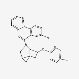 Cc1ccc(OC2CC34CC3CN(C(=O)c3cc(F)ccc3-c3ncccn3)C24)nc1